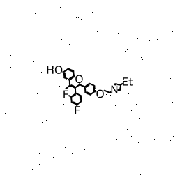 CCC1CN(CCOc2ccc(C3Oc4ccc(O)cc4C(C)=C3c3ccc(F)cc3F)cc2)C1